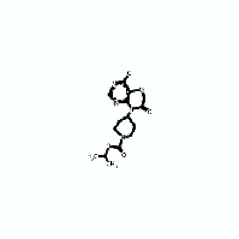 CC(C)OC(=O)N1CCC(N2C(=O)COc3c(Cl)ncnc32)CC1